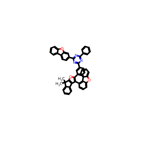 CC1(C)c2ccccc2-c2c1oc(-c1cccc(-c3nc(-c4ccccc4)nc(-c4ccc5c(c4)oc4ccccc45)n3)c1)c2-c1cccc2oc3ccccc3c12